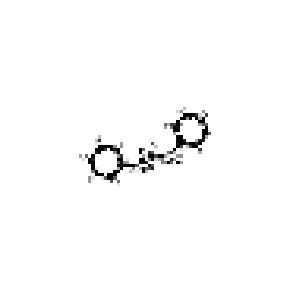 c1ccc([Se][Se][Se]c2ccccc2)cc1